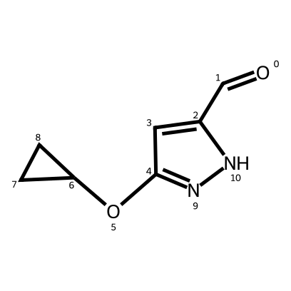 O=Cc1cc(OC2CC2)n[nH]1